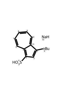 CCCCc1cc(S(=O)(=O)O)c2cccccc1-2.[NaH]